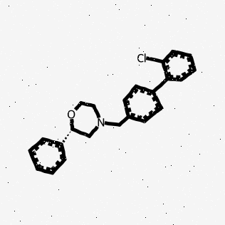 Clc1ccccc1-c1ccc(CN2CCO[C@@H](c3ccccc3)C2)cc1